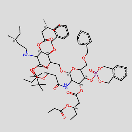 CCC(=O)O[C@H](CC)CC(=O)NC1[C@H](OCC2OC(O[Si](C)(C)C(C)(C)C)C(NCC[C@H](C)CC)[C@@H](OC(=O)C[C@H](C)CC)[C@H]2OCc2ccccc2)OC(COCc2ccccc2)[C@@H](OP2(=O)OCc3ccccc3CO2)[C@@H]1OC(=O)C[C@@H](CC)OC(=O)CC